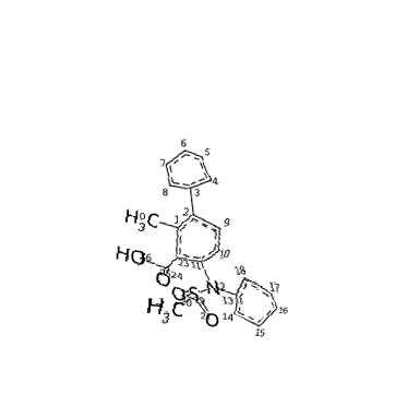 Cc1c(-c2ccccc2)ccc(N(c2ccccc2)S(C)(=O)=O)c1C(=O)O